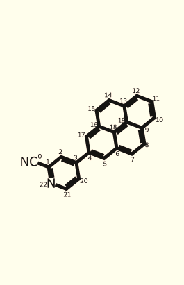 N#Cc1cc(-c2cc3ccc4cccc5ccc(c2)c3c45)ccn1